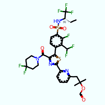 CC[C@H](NS(=O)(=O)c1ccc(-c2sc(-c3cccc(CC(C)(C)OC=O)n3)nc2C(=O)N2CCC(F)(F)CC2)c(C(F)F)c1F)C(F)(F)F